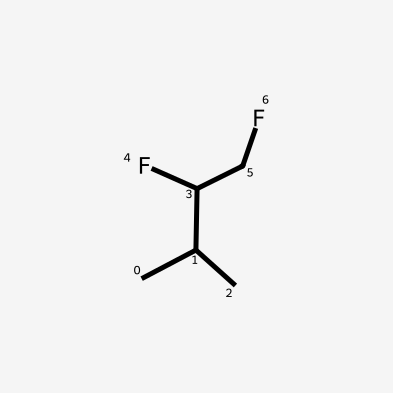 CC(C)C(F)CF